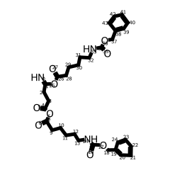 N=C(CCC(=O)OC(=O)CCCCCNC(=O)OCc1ccccc1)OC(=O)CCCCCNC(=O)OCc1ccccc1